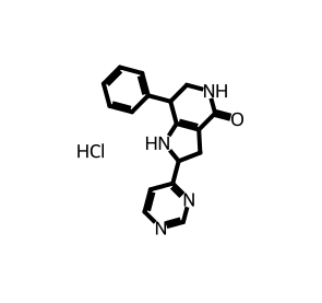 Cl.O=C1NCC(c2ccccc2)C2=C1CC(c1ccncn1)N2